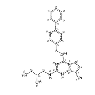 CC(C)c1cnn2c(NCc3ccc(-c4ccccc4)nc3)nc(NC[C@H](O)CO)nc12